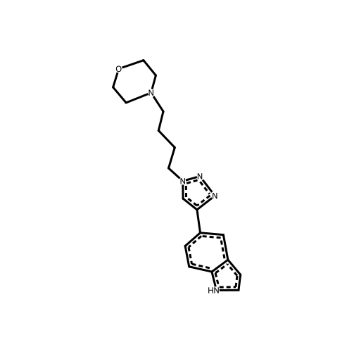 c1cc2cc(-c3cn(CCCCN4CCOCC4)nn3)ccc2[nH]1